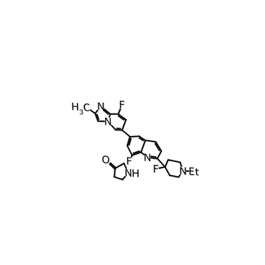 CCN1CCC(F)(c2ccc3cc(-c4cc(F)c5nc(C)cn5c4)cc(F)c3n2)CC1.O=C1CCNC1